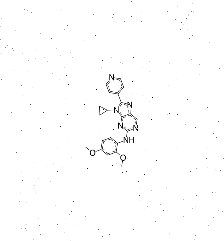 COc1ccc(Nc2ncc3nc(-c4ccncc4)n(C4CC4)c3n2)c(OC)c1